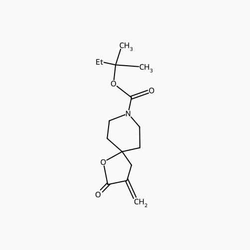 C=C1CC2(CCN(C(=O)OC(C)(C)CC)CC2)OC1=O